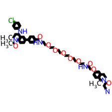 CC(=O)N1c2ccc(-c3ccc(C(=O)NCCOCCOCCOCCOCCOCCNC(=O)COc4ccc5c(c4)CCN(C(=O)CC#N)C5C)cc3)cc2[C@H](Nc2ccc(Cl)cc2)C[C@@H]1C